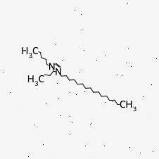 CCCCCCCCCCCCCCCCN1C=CN(CCCCC)C1CCC